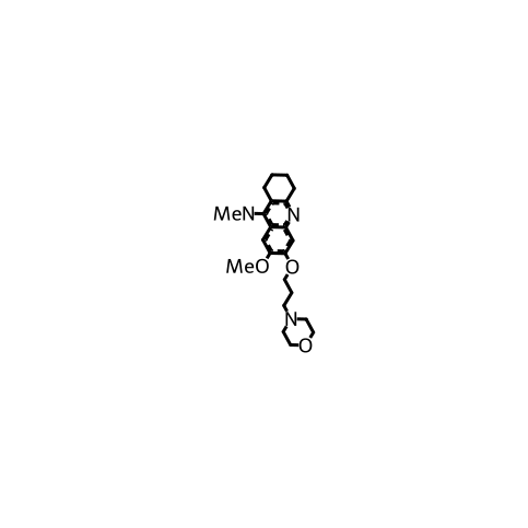 CNc1c2c(nc3cc(OCCCN4CCOCC4)c(OC)cc13)CCCC2